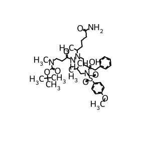 COc1ccc(S(=O)(=O)N(CC(C)C)C(O)(CCN(NC(=O)CCN(C)C(=O)OC(C)(C)C)C(C)CCCC(N)=O)Cc2ccccc2)cc1